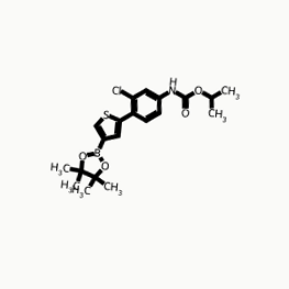 CC(C)OC(=O)Nc1ccc(-c2cc(B3OC(C)(C)C(C)(C)O3)cs2)c(Cl)c1